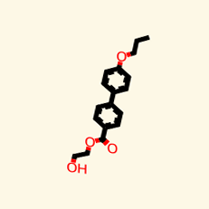 CCCOc1ccc(-c2ccc(C(=O)OCCO)cc2)cc1